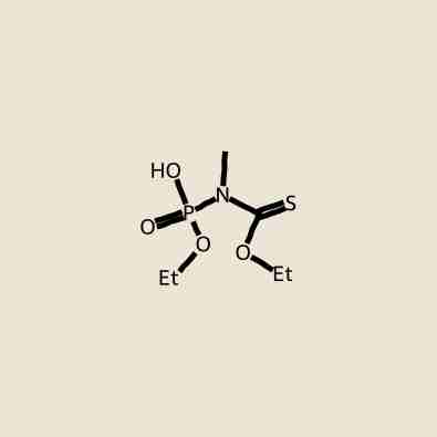 CCOC(=S)N(C)P(=O)(O)OCC